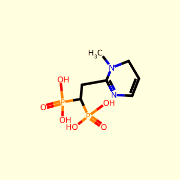 CN1CC=CN=C1CC(P(=O)(O)O)P(=O)(O)O